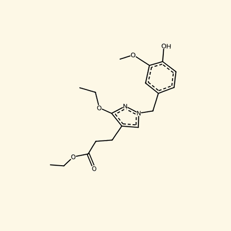 CCOC(=O)CCc1cn(Cc2ccc(O)c(OC)c2)nc1OCC